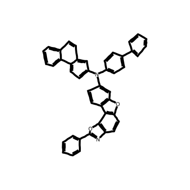 c1ccc(-c2ccc(N(c3ccc4c(ccc5ccccc54)c3)c3ccc4c(c3)oc3ccc5nc(-c6ccccc6)oc5c34)cc2)cc1